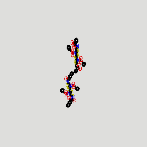 O=C1C(=O)c2ccc(-c3ccc4cc5c(cc4c3)C/C(=N\c3cc4c(s3)c3sc6c(sc7c8sc(N=c9c(=O)c%10cc%11ccccc%11cc%10c9=O)cc8n(C(=O)OCc8ccccc8)c76)c3n4C(=O)OCc3ccccc3)C5=O)cc2/C1=C/c1cc2c(s1)c1sc3c(sc4c5sc(/N=c6\c(=O)c(=O)c7ccccc67)cc5n(C(=O)OCc5ccccc5)c43)c1n2C(=O)OCc1ccccc1